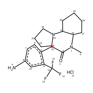 CN(C(=O)Cc1ccc(N)cc1C(F)(F)F)C1CCCCC1N1CCCC1.Cl